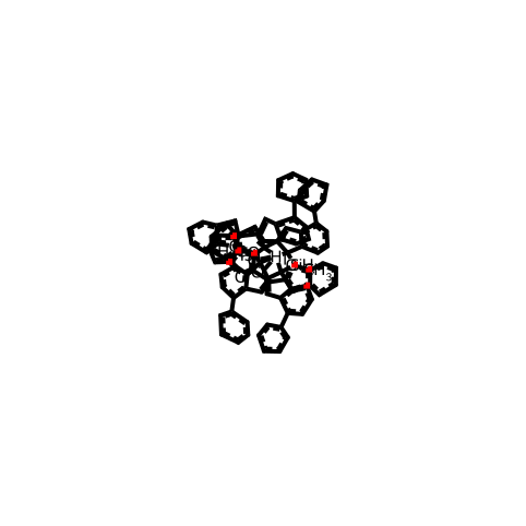 C[SiH]1[C]2(C(c3cc4ccccc4o3)=Cc3c(-c4ccccc4)cccc32)[Hf]2([Cl])([Cl])([C]13C(c1cc4ccccc4o1)=Cc1c(-c4ccccc4)cccc13)[C]1(C(c3cc4ccccc4o3)=Cc3c(-c4ccccc4)cccc31)[SiH](C)[C]21C(c2cc3ccccc3o2)=Cc2c(-c3ccccc3)cccc21